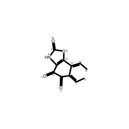 C/C=C1/C(=O)C(=O)c2[nH]c(=O)oc2/C1=C/C